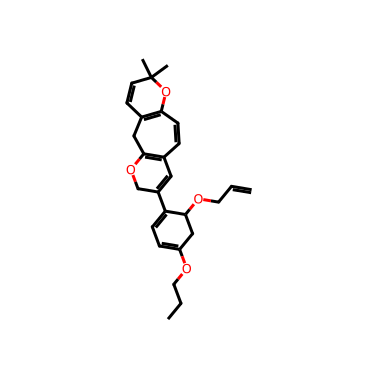 C=CCOC1CC(OCCC)=CC=C1C1=CC2=C(CC3=C(C=C2)OC(C)(C)C=C3)OC1